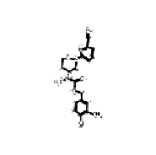 C#Cc1cccc(N2CCC[C@@H](N(C)C(=O)NCc3ccc(Cl)c(C)c3)C2)n1